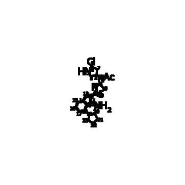 CC(=O)N(C1CNC(Cl)C1)C1CSC(c2cc3cccc(C4CCCC4)c3n2N)=N1